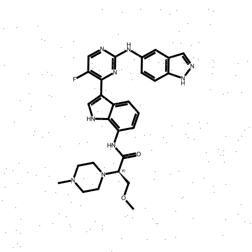 COC[C@H](C(=O)Nc1cccc2c(-c3nc(Nc4ccc5[nH]ncc5c4)ncc3F)c[nH]c12)N1CCN(C)CC1